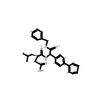 CC(C)C[C@H](CC(=O)O)C(=O)NC(C(=O)OCc1ccccc1)c1ccc(-c2ccccc2)cc1